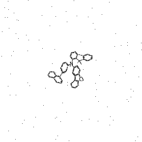 CC1(C)c2ccccc2-c2cccc(N(c3cccc(-c4cccc5ccccc45)c3)c3ccc4oc5ccccc5c4c3)c21